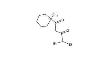 CCC(CC)C(=O)CC(=O)C1(C(F)(F)F)CCCCC1